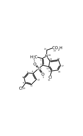 Cc1c(S(=O)(=O)c2ccc(Cl)cc2)c2c(Cl)cccc2n1CC(=O)O